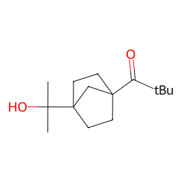 CC(C)(C)C(=O)C12CCC(C(C)(C)O)(CC1)C2